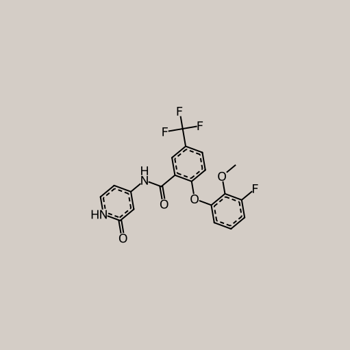 COc1c(F)cccc1Oc1ccc(C(F)(F)F)cc1C(=O)Nc1cc[nH]c(=O)c1